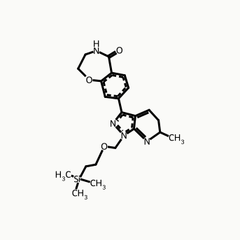 CC1CC=c2c(-c3ccc4c(c3)OCCNC4=O)nn(COCC[Si](C)(C)C)c2=N1